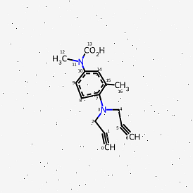 C#CCN(CC#C)c1ccc(N(C)C(=O)O)cc1C